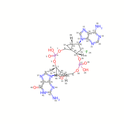 CO[C@H]1[C@H]2OP(=O)(O)OCC34C[C@@H]3[C@@H](n3cnc5c(N)ncnc53)[C@H](F)[C@@H]4OP(=O)(O)OC[C@H]1O[C@H]2n1cnc2c(=O)[nH]c(N)nc21